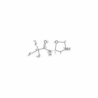 O=C(N[C@H]1CNCO1)C(F)(F)F